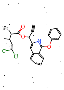 C#CC(OC(=O)C(C(C)C)C(C)C=C(Cl)Cl)c1cc2ccccc2c(Oc2ccccc2)n1